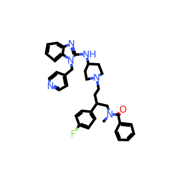 CN(CC(CCN1CCC(Nc2nc3ccccc3n2Cc2ccncc2)CC1)c1ccc(F)cc1)C(=O)c1ccccc1